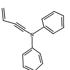 C=CC#CN(c1ccccc1)c1ccccc1